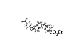 C=C(C)[C@H]1CC[C@H](Oc2ccc3cc(CN4CCC(C(=O)OCC)C(C)C4)ccc3c2)CC1